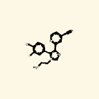 CCCn1cnc(-c2cc(C#N)ccn2)c1-c1ccc(Cl)c(F)c1